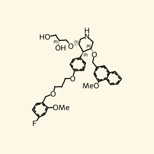 COc1cc(F)ccc1COCCCOc1ccc([C@@H]2[C@@H](OCc3cc(OC)c4ccccc4c3)CNC[C@H]2OC[C@H](O)CO)cc1